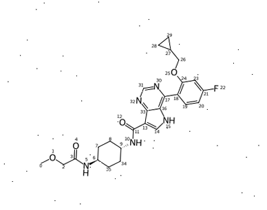 COCC(=O)N[C@H]1CC[C@H](NC(=O)c2c[nH]c3c(-c4ccc(F)cc4OCC4CC4)ncnc23)CC1